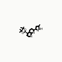 Cc1cc(-c2ccc3c(B4OC(C)(C)C(C)(C)O4)ccnc3n2)n[nH]1